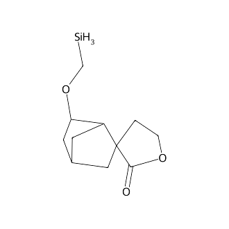 O=C1OCCC12CC1CC(OC[SiH3])C2C1